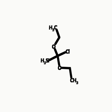 CCOC([SiH3])(Cl)OCC